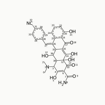 CN(C)C1C(O)=C(C(N)=O)C(=O)C2(O)C(O)=C3C(=O)c4c(O)cccc4/C(=C\c4ccc(C#N)cc4)C3C(O)C12